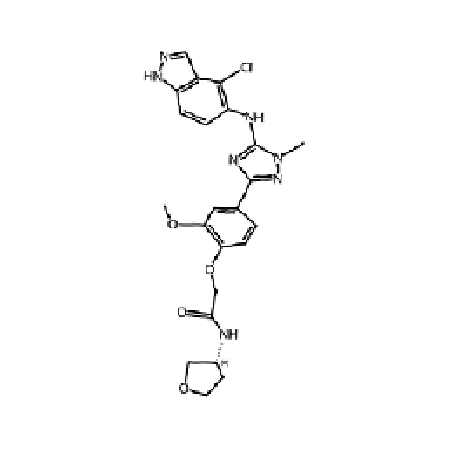 COc1cc(-c2nc(Nc3ccc4[nH]ncc4c3Cl)n(C)n2)ccc1OCC(=O)N[C@@H]1CCOC1